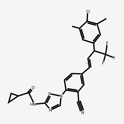 Cc1cc(C(/C=C/c2ccc(-n3cnc(NC(=O)C4CC4)n3)c(C#N)c2)C(F)(F)F)cc(C)c1Cl